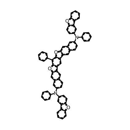 c1ccc(-c2c3oc4cc5cc(N(c6ccccc6)c6ccc7oc8ccccc8c7c6)ccc5cc4c3cc3c2oc2cc4cc(N(c5ccccc5)c5ccc6oc7ccccc7c6c5)ccc4cc23)cc1